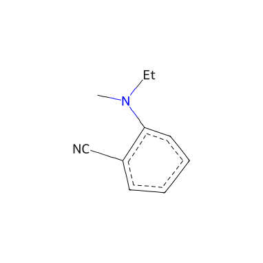 [CH2]CN(C)c1ccccc1C#N